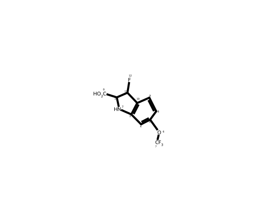 O=C(O)C1Nc2cc(OC(F)(F)F)ccc2C1F